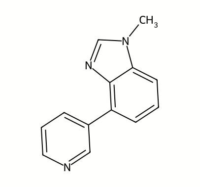 Cn1cnc2c(-c3cccnc3)cccc21